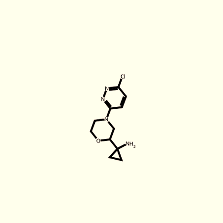 NC1(C2CN(c3ccc(Cl)nn3)CCO2)CC1